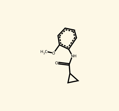 COc1cc[c]cc1NC(=O)C1CC1